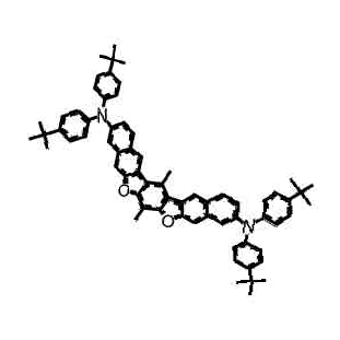 Cc1c2oc3cc4cc(N(c5ccc(C(C)(C)C)cc5)c5ccc(C(C)(C)C)cc5)ccc4cc3c2c(C)c2c1oc1cc3cc(N(c4ccc(C(C)(C)C)cc4)c4ccc(C(C)(C)C)cc4)ccc3cc12